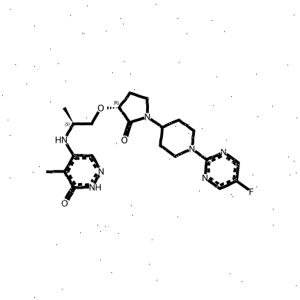 Cc1c(N[C@@H](C)CO[C@@H]2CCN(C3CCN(c4ncc(F)cn4)CC3)C2=O)cn[nH]c1=O